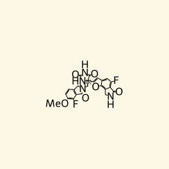 COc1ccc2c(c1F)C(=O)N(C[C@@]1(c3cc4cc(F)c5c(c4o3)CNC5=O)NC(=O)NC1=O)C2